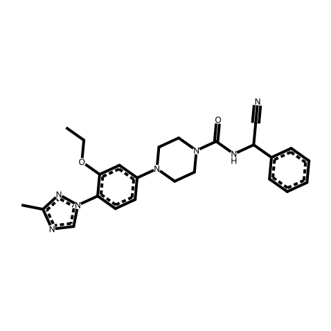 CCOc1cc(N2CCN(C(=O)NC(C#N)c3ccccc3)CC2)ccc1-n1cnc(C)n1